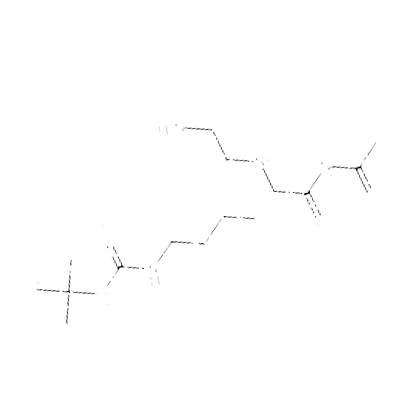 CC(=O)NC(=O)[C@H](CCCCNC(=O)OC(C)(C)C)NCCN